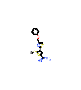 CCSc1sc(C(=N)N)cc1-c1nc(COc2ccccc2)cs1